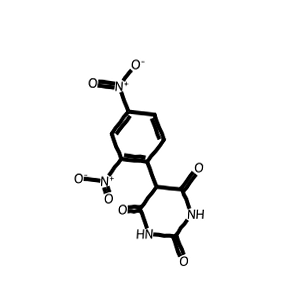 O=C1NC(=O)C(c2ccc([N+](=O)[O-])cc2[N+](=O)[O-])C(=O)N1